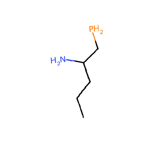 CCCC(N)CP